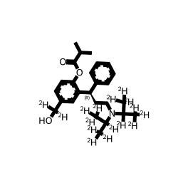 [2H]C([2H])(O)c1ccc(OC(=O)C(C)C)c([C@H](CCN(C([2H])(C([2H])([2H])[2H])C([2H])([2H])[2H])C([2H])(C([2H])([2H])[2H])C([2H])([2H])[2H])c2ccccc2)c1